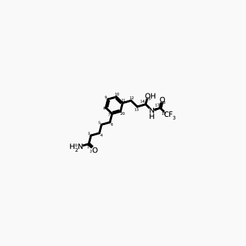 NC(=O)CCCCc1cccc(CCC(O)NC(=O)C(F)(F)F)c1